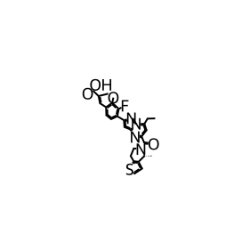 CCc1cc(C(=O)N2CCc3sccc3[C@H]2C)nc2cc(-c3ccc4c(c3F)OCC(C(=O)O)=C4)nn12